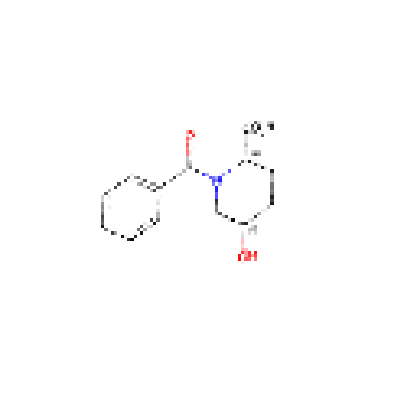 O=C(O)[C@@H]1CC[C@H](O)CN1C(=O)c1ccccc1